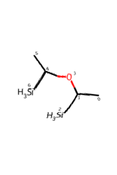 CC([SiH3])OC(C)[SiH3]